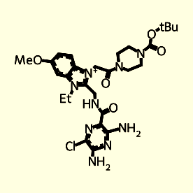 CCn1c(CNC(=O)c2nc(Cl)c(N)nc2N)[n+](CC(=O)N2CCN(C(=O)OC(C)(C)C)CC2)c2ccc(OC)cc21